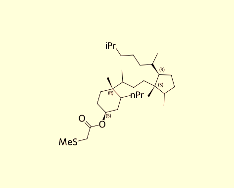 CCCC1C[C@@H](OC(=O)CSC)CC[C@]1(C)C(C)CC[C@@]1(C)C(C)CC[C@@H]1C(C)CCCC(C)C